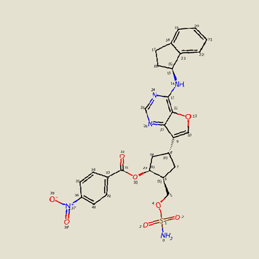 NS(=O)(=O)OC[C@@H]1C[C@@H](c2coc3c(N[C@H]4CCc5ccccc54)ncnc23)C[C@@H]1OC(=O)c1ccc([N+](=O)[O-])cc1